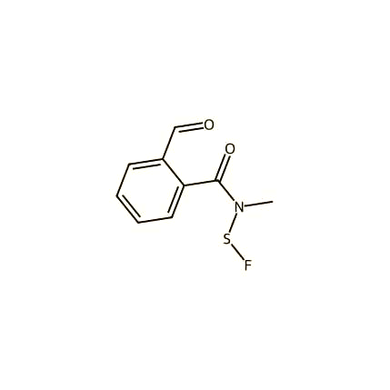 CN(SF)C(=O)c1ccccc1C=O